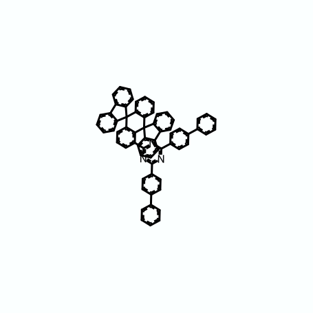 c1ccc(-c2ccc(-c3nc(-c4ccc(-c5ccccc5)cc4)nc(-c4cccc5c4C4(c6ccccc6-c6ccccc64)c4ccccc4C54c5ccccc5-c5ccccc54)n3)cc2)cc1